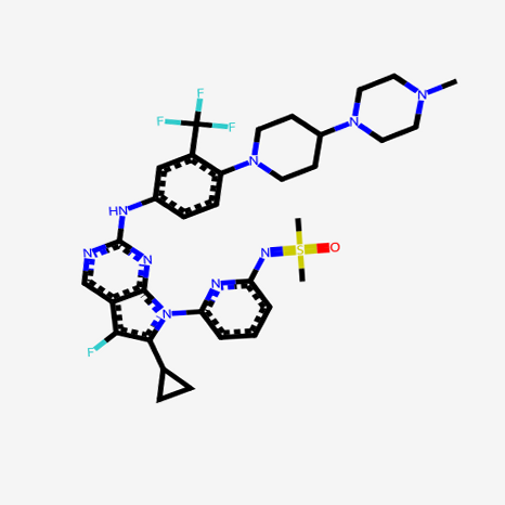 CN1CCN(C2CCN(c3ccc(Nc4ncc5c(F)c(C6CC6)n(-c6cccc(N=S(C)(C)=O)n6)c5n4)cc3C(F)(F)F)CC2)CC1